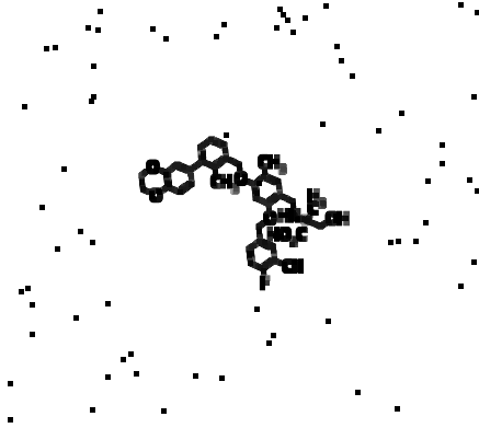 Cc1cc(CN[C@@](C)(CO)C(=O)O)c(OCc2ccc(F)c(C#N)c2)cc1OCc1cccc(-c2ccc3c(c2)OCCO3)c1C